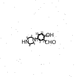 O=Cc1cc(N2CCNCC2)ccc1O